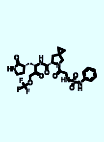 O=C1NCC[C@H]1C[C@H](NC(=O)[C@@H]1CC2(CC2)CN1C(=O)CNS(=O)(=O)Nc1ccccc1)C(=O)COC(F)(F)F